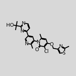 Cc1nc(COc2cc(C)n(-c3cc(-c4ccnc(C(C)(C)O)n4)cnc3C)c(=O)c2Cl)cs1